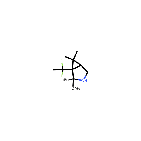 COC1(C(C)(C)C)NCC2C(C)(C)C21C(C)(F)F